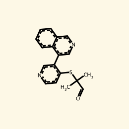 CC(C)(C=O)Sc1ccncc1-c1cncc2ccccc12